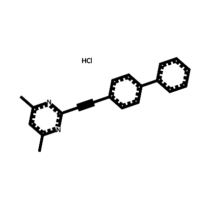 Cc1cc(C)nc(C#Cc2ccc(-c3ccccc3)cc2)n1.Cl